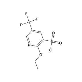 CCOc1ncc(C(F)(F)F)cc1S(=O)(=O)Cl